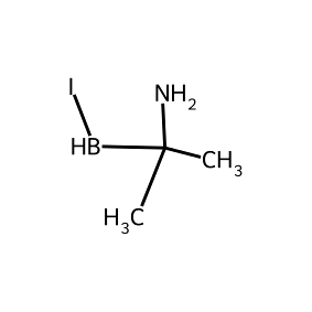 CC(C)(N)BI